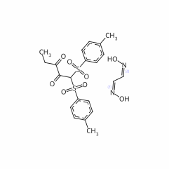 CCC(=O)C(=O)C(S(=O)(=O)c1ccc(C)cc1)S(=O)(=O)c1ccc(C)cc1.O/N=C\C=N/O